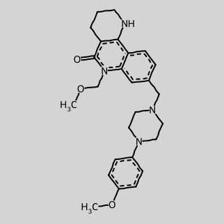 COCn1c(=O)c2c(c3ccc(CN4CCN(c5ccc(OC)cc5)CC4)cc31)NCCC2